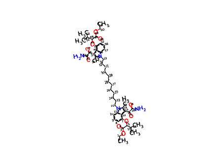 CCOC(=O)C(Oc1cccc2c1c(C(=O)C(N)=O)c(C)n2CCCCCCCCCCCCn1c(C)c(C(=O)C(N)=O)c2c(OC(C(=O)OCC)C(C)C)cccc21)C(C)C